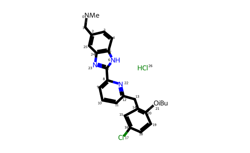 CNCc1ccc2[nH]c(-c3cccc(Cc4cc(Cl)ccc4OCC(C)C)n3)nc2c1.Cl